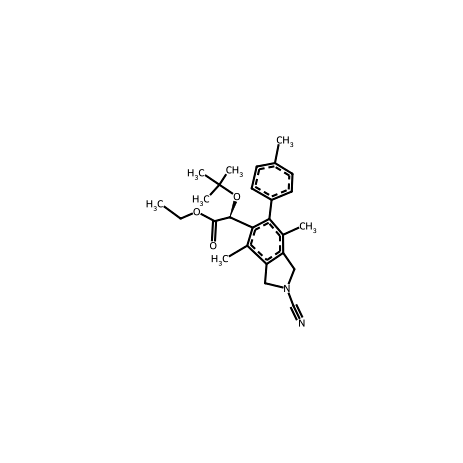 CCOC(=O)[C@@H](OC(C)(C)C)c1c(C)c2c(c(C)c1-c1ccc(C)cc1)CN(C#N)C2